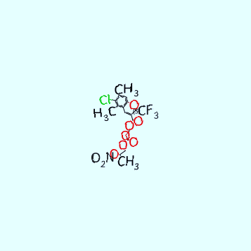 Cc1cc2c(c(C)c1Cl)C=C(C(=O)OCOC(=O)OCC(C)O[N+](=O)[O-])[C@@H](C(F)(F)F)O2